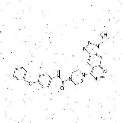 CCn1nnc2cc3c(N4CCN(C(=O)Nc5ccc(Oc6ccccc6)cc5)CC4)ncnc3cc21